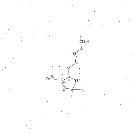 CC1(C)O[C@@H](CCOCC(=O)O)[C@@H](C=O)O1